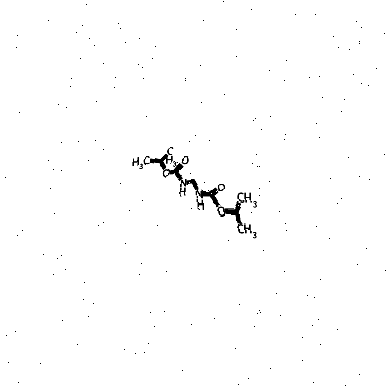 CC(C)OC(=O)NCNC(=O)OC(C)C